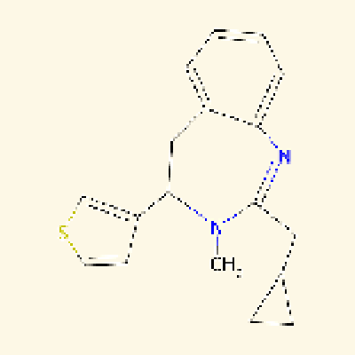 CN1C(CC2CC2)=Nc2ccccc2CC1c1ccsc1